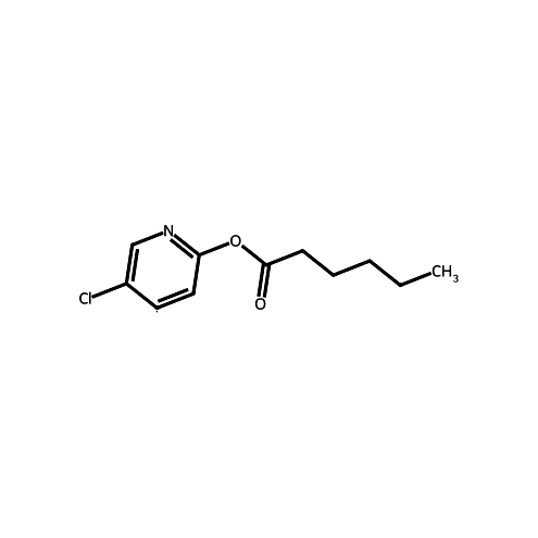 CCCCCC(=O)Oc1c[c]c(Cl)cn1